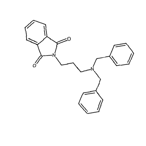 O=C1c2ccccc2C(=O)N1CCCN(Cc1ccccc1)Cc1ccccc1